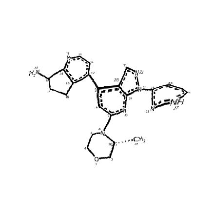 C[C@@H]1COCCN1c1cc(-c2ccnc3c2CCC3N)c2cnn(-c3cc[nH]n3)c2n1